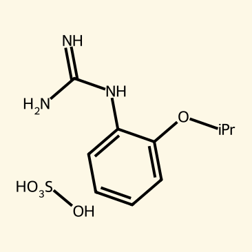 CC(C)Oc1ccccc1NC(=N)N.O=S(=O)(O)O